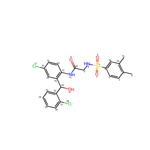 Cc1ccc(S(=O)(=O)NCC(=O)Nc2ccc(Cl)cc2C(O)c2ccccc2Cl)cc1C